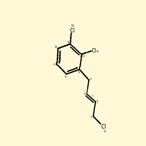 ClC/C=C/Cc1cccc(Cl)c1Cl